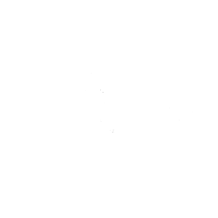 O=C(NO)[C@H](NS(=O)(=O)Cc1ccc2sccc2c1)c1ccc(OC(F)(F)F)cc1